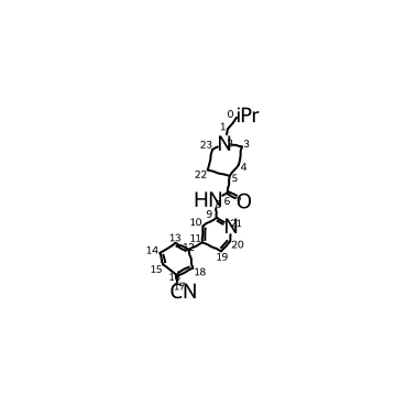 CC(C)CN1CCC(C(=O)Nc2cc(-c3cccc(C#N)c3)ccn2)CC1